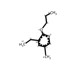 CCCOc1ncc(C)cc1CC